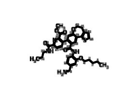 CCCCCOc1cc(CN)ccc1NC(=O)c1cc2c(cc1-c1ccc(C(=O)NCCC)nc1C(=O)OC)OCCc1ccsc1-2